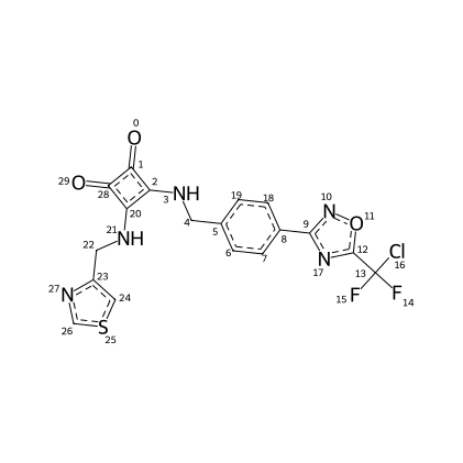 O=c1c(NCc2ccc(-c3noc(C(F)(F)Cl)n3)cc2)c(NCc2cscn2)c1=O